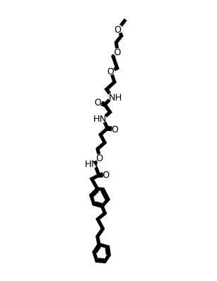 COCCOCCOCCNC(=O)CNC(=O)CCCONC(=O)Cc1ccc(CCCCc2ccccc2)cc1